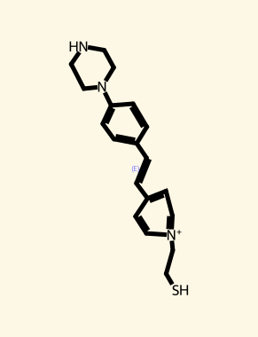 SCC[n+]1ccc(/C=C/c2ccc(N3CCNCC3)cc2)cc1